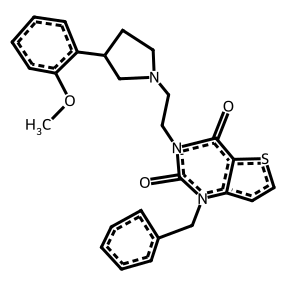 COc1ccccc1C1CCN(CCn2c(=O)c3sccc3n(Cc3ccccc3)c2=O)C1